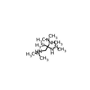 CN(C)NCC([SiH3])(NN(C)C)NN(C)C